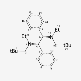 CCN(CC(C)(C)C)[C@H](c1ccccc1)[C@@H](c1ccccc1)N(CC)CC(C)(C)C